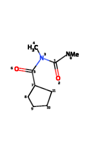 CNC(=O)N(C)C(=O)C1CCCC1